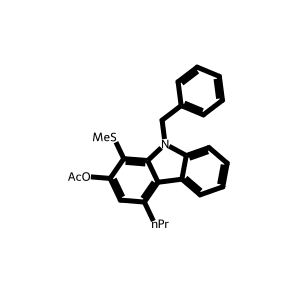 CCCc1cc(OC(C)=O)c(SC)c2c1c1ccccc1n2Cc1ccccc1